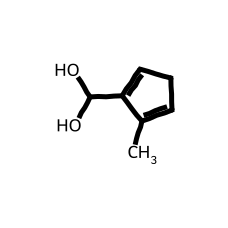 CC1=CCC=C1C(O)O